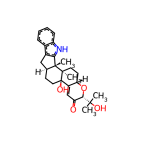 CC(C)(O)[C@H]1O[C@H]2CC[C@@]3(C)[C@@](O)(CC[C@H]4Cc5c([nH]c6ccccc56)[C@@]43C)C2=CC1=O